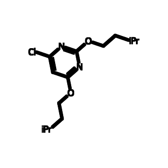 CC(C)CCOc1cc(Cl)nc(OCCC(C)C)n1